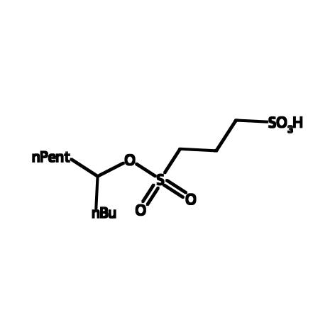 CCCCCC(CCCC)OS(=O)(=O)CCCS(=O)(=O)O